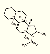 CC(=O)[C@H]1C(C)C[C@H]2[C@@H]3CCC4CCCC[C@]4(C)C3=CC[C@]12C